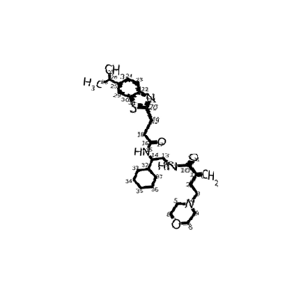 C=C(CCN1CCOCC1)C(=O)NCC(NC(=O)CCc1nc2ccc(C(C)C)cc2s1)C1CCCCC1